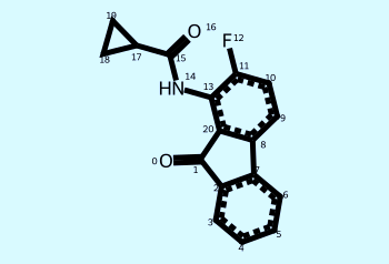 O=C1c2ccccc2-c2ccc(F)c(NC(=O)C3CC3)c21